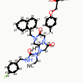 COC(=O)COc1ccc(C[C@H]2C(=O)N(Cc3cccc4ccccc34)C[C@H]3N2C(=O)CN3N(CC#N)C(=O)NCc2ccc(F)cc2)cc1